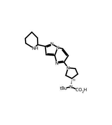 CC(C)(C)N(C(=O)O)[C@H]1CCN(c2ccn3nc(C4CCCCN4)cc3n2)C1